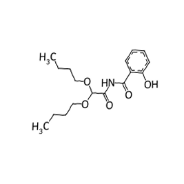 CCCCOC(OCCCC)C(=O)NC(=O)c1ccccc1O